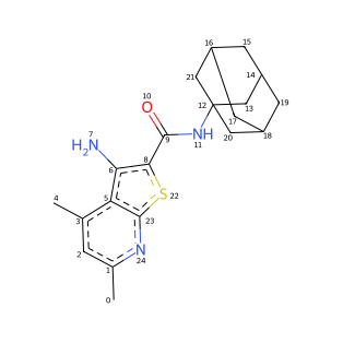 Cc1cc(C)c2c(N)c(C(=O)NC34CC5CC(CC(C5)C3)C4)sc2n1